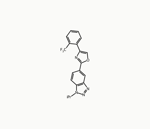 CC(C)n1nnc2cc(-c3nc(-c4ccccc4C(F)(F)F)co3)ccc21